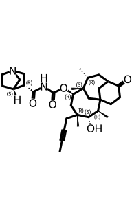 CC#CC[C@]1(C)C[C@@H](OC(=O)NC(=O)[C@H]2CN3CC[C@@H]2C3)[C@@]2(C)CC3(CCC(=O)C(C[C@H]2C)C3)[C@@H](C)[C@@H]1O